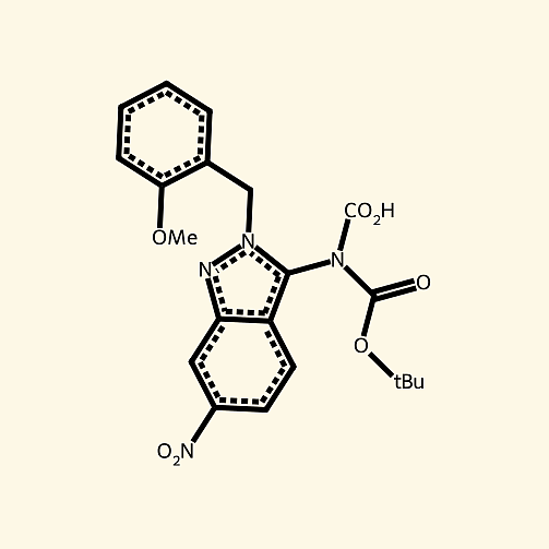 COc1ccccc1Cn1nc2cc([N+](=O)[O-])ccc2c1N(C(=O)O)C(=O)OC(C)(C)C